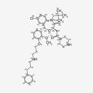 COc1c(OCCCNCCCc2ccccc2)cccc1[C@H]1O[C@H](CC(=O)N2CCNCC2)C(=O)N(CC(C)(C)C)c2ccc(Cl)cc21